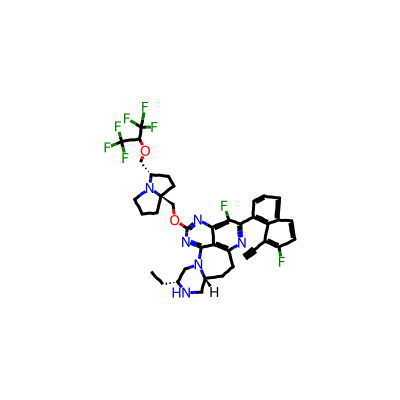 C#Cc1c(F)ccc2cccc(-c3nc4c5c(nc(OC[C@@]67CCCN6[C@H](COC(C(F)(F)F)C(F)(F)F)CC7)nc5c3F)N3C[C@@H](CC)NC[C@H]3CC4)c12